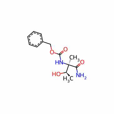 C[C@@H](O)[C@@](C)(NC(=O)OCc1ccccc1)C(N)=O